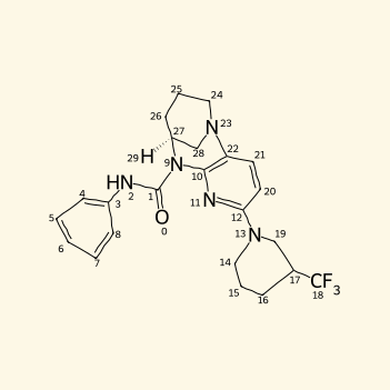 O=C(Nc1ccccc1)N1c2nc(N3CCCC(C(F)(F)F)C3)ccc2N2CCC[C@H]1C2